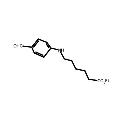 CCOC(=O)CCCCCNc1ccc(C=O)cc1